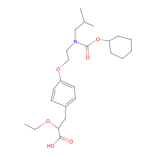 CCOC(Cc1ccc(OCCN(CC(C)C)C(=O)OC2CCCCC2)cc1)C(=O)O